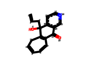 C=CCC1(O)C2=C(C=CC=CC2)C(=O)c2cnccc21